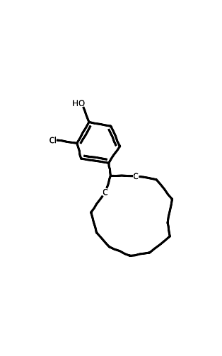 Oc1ccc(C2CCCCCCCCCCC2)cc1Cl